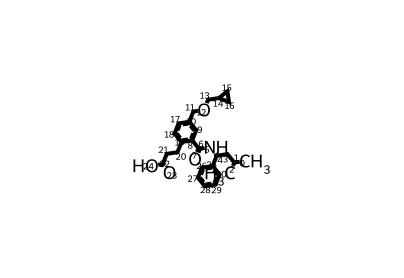 CC(C)CC(NC(=O)c1cc(COCC2CC2)ccc1CCC(=O)O)c1ccccc1